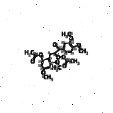 COc1cc(OC)c(CC(OOC(C)=O)C(=O)c2ccc(OC)c(OC)c2)c(OC(C)=O)c1